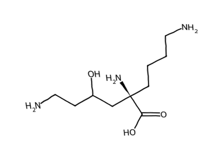 NCCCC[C@@](N)(CC(O)CCN)C(=O)O